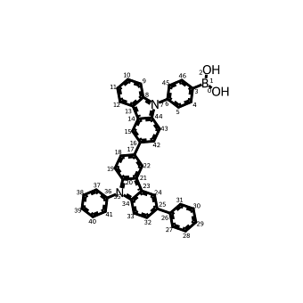 OB(O)c1ccc(-n2c3ccccc3c3cc(-c4ccc5c(c4)c4cc(-c6ccccc6)ccc4n5-c4ccccc4)ccc32)cc1